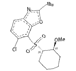 CO[C@H]1CCCC[C@@H]1S(=O)(=O)c1c(Cl)ccc2nc(C(C)(C)C)oc12